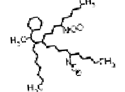 CCCCCCCC(C(CCCCC(CCCCC)N=C=O)CCCC(CCCCC)N=C=O)C(C)C1CCCCC1